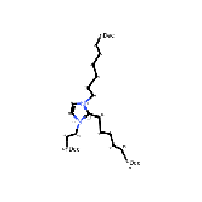 CCCCCCCCCCCCCCCCN1C=CN(CCCCCCCCCCCC)C1CCCCCCCCCCCCCCC